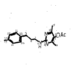 CC(=O)Oc1c(C)nc(NCCCc2ccc(C)cc2)nc1C